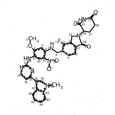 COc1cc(NCc2ccc3c(c2F)CN(C2CCC(=O)NC2=O)C3=O)c([N+](=O)[O-])cc1Nc1nccc(-c2cn(C)c3ccccc23)n1